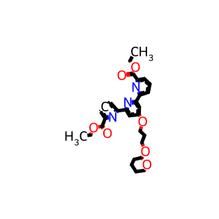 CCOC(=O)c1cccc(-c2cc(OCCCOC3CCCCO3)cc(-c3cccc(C(=O)OCC)n3)n2)n1